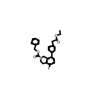 CCOC(=O)Cc1ccc(-c2ccc(F)c3c2CN(C(=O)OCc2ccccc2)CC3)cc1